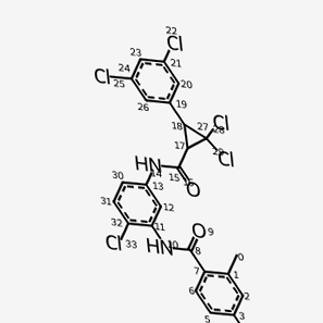 Cc1cc([N+](=O)[O-])ccc1C(=O)Nc1cc(NC(=O)C2C(c3cc(Cl)cc(Cl)c3)C2(Cl)Cl)ccc1Cl